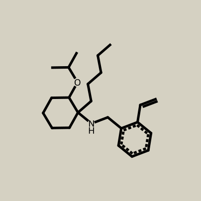 C=Cc1ccccc1CNC1(CCCCC)CCCCC1OC(C)C